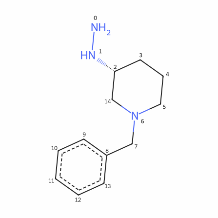 NN[C@@H]1CCCN(Cc2ccccc2)C1